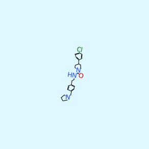 O=C(NCCc1ccc(CN2CCCC2)cc1)N1CCC(c2ccc(Cl)cc2)CC1